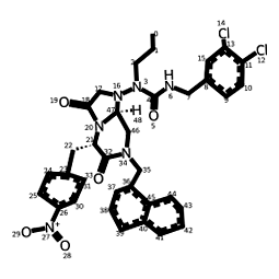 CCCN(C(=O)NCc1ccc(Cl)c(Cl)c1)N1CC(=O)N2[C@@H](Cc3ccc([N+](=O)[O-])cc3)C(=O)N(Cc3cccc4ccccc34)C[C@@H]21